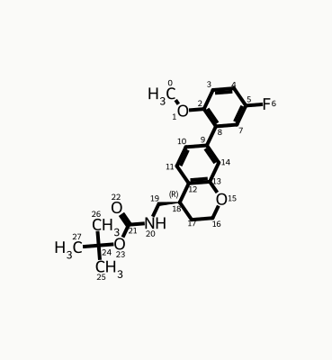 COc1ccc(F)cc1-c1ccc2c(c1)OCC[C@H]2CNC(=O)OC(C)(C)C